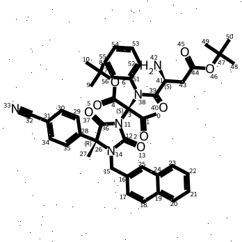 CC(=O)[C@@](C(=O)OC(C)(C)C)(N1C(=O)N(Cc2ccc3ccccc3c2)[C@](C)(c2ccc(C#N)cc2)C1=O)N(C(=O)[C@@H](N)CC(=O)OC(C)(C)C)c1ccccc1